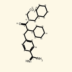 N=C(N)c1ccc(CC(C(=O)N(CC(=O)O)CC2CCCCC2)C2CCCCC2)cc1